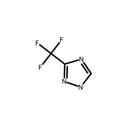 FC(F)(F)C1=N[N]C=N1